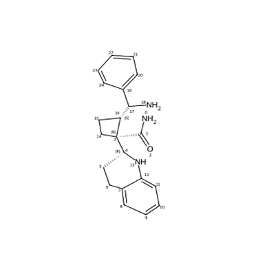 NC(=O)[C@]1([C@H]2CCc3ccccc3N2)CC[C@@H]1C(N)c1ccccc1